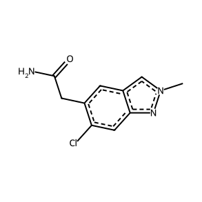 Cn1cc2cc(CC(N)=O)c(Cl)cc2n1